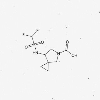 O=C(O)N1CC(NS(=O)(=O)C(F)F)C2(CC2)C1